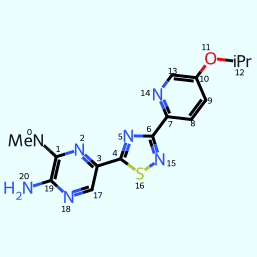 CNc1nc(-c2nc(-c3ccc(OC(C)C)cn3)ns2)cnc1N